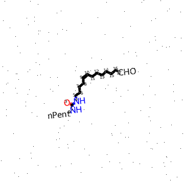 CCCCCNC(=O)NCCCC/C=C\CCCCCCC=O